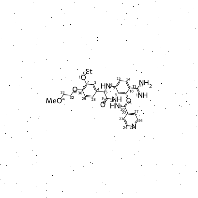 CCOc1cc(C(Nc2ccc(C(=N)N)cc2)C(=O)NNC(=O)c2ccncc2)ccc1OCCOC